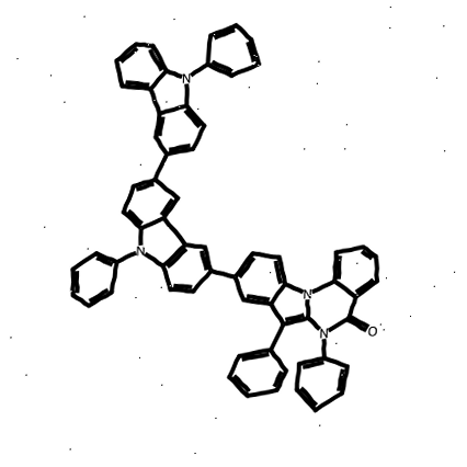 O=c1c2ccccc2n2c3ccc(-c4ccc5c(c4)c4cc(-c6ccc7c(c6)c6ccccc6n7-c6ccccc6)ccc4n5-c4ccccc4)cc3c(-c3ccccc3)c2n1-c1ccccc1